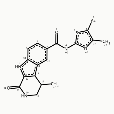 CC(=O)c1sc(NC(=O)c2ccc3[nH]c4c(c3c2)C(C)CNC4=O)nc1C